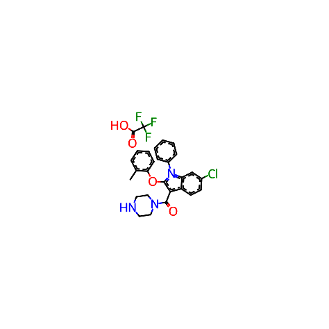 Cc1ccccc1Oc1c(C(=O)N2CCNCC2)c2ccc(Cl)cc2n1-c1ccccc1.O=C(O)C(F)(F)F